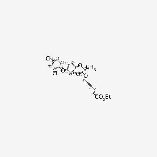 CCOC(=O)/C=C/C#CCOC(=O)C(C)Oc1ccc(Oc2ccc(Cl)cc2Cl)cc1